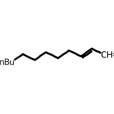 [CH]C=CCCCCCCCCC